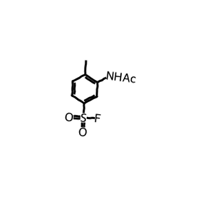 CC(=O)Nc1cc(S(=O)(=O)F)ccc1C